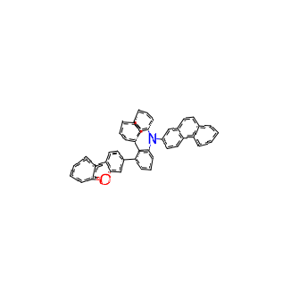 c1ccc(-c2c(-c3ccc4c(c3)oc3ccccc34)cccc2N(c2ccccc2)c2ccc3c(ccc4ccccc43)c2)cc1